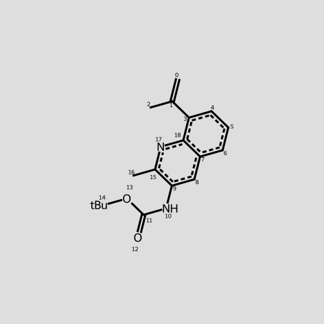 C=C(C)c1cccc2cc(NC(=O)OC(C)(C)C)c(C)nc12